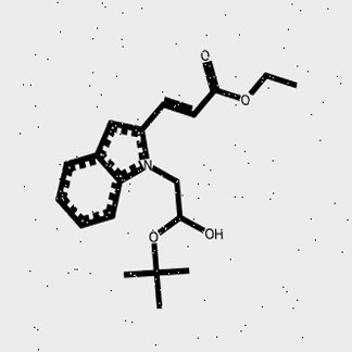 CCOC(=O)/C=C/c1cc2ccccc2n1CC(O)OC(C)(C)C